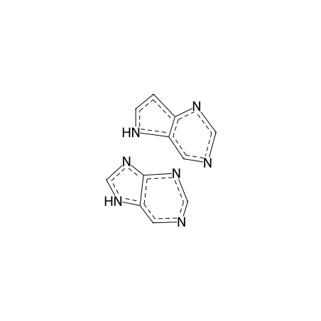 c1ncc2[nH]ccc2n1.c1ncc2[nH]cnc2n1